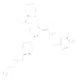 CCN(c1cc(-c2ccc(CNCCN)cc2)cc(C(=O)NCc2c(C)cc(C)[nH]c2=O)c1C)C1CCCCC1